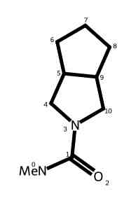 CNC(=O)N1CC2CCCC2C1